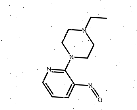 CCN1CCN(c2ncccc2N=O)CC1